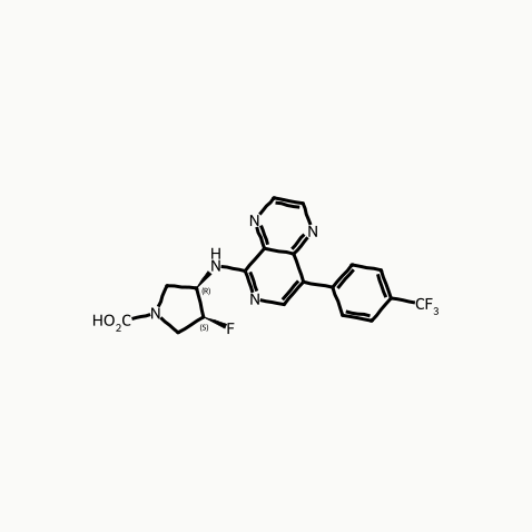 O=C(O)N1C[C@H](F)[C@H](Nc2ncc(-c3ccc(C(F)(F)F)cc3)c3nccnc23)C1